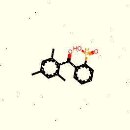 Cc1cc(C)c(C(=O)c2ccccc2[PH](=O)O)c(C)c1